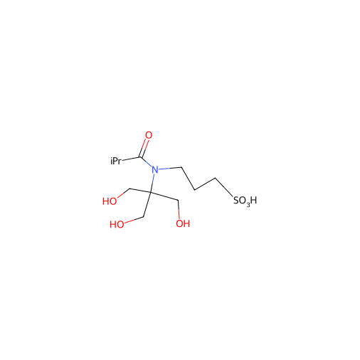 CC(C)C(=O)N(CCCS(=O)(=O)O)C(CO)(CO)CO